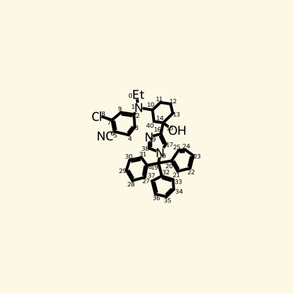 CCN(c1ccc(C#N)c(Cl)c1)C1CCCC(O)(c2cn(C(c3ccccc3)(c3ccccc3)c3ccccc3)cn2)C1